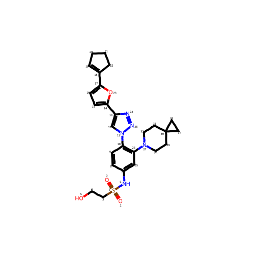 O=S(=O)(CCO)Nc1ccc(-n2cc(-c3ccc(C4=CCCC4)o3)nn2)c(N2CCC3(CC2)CC3)c1